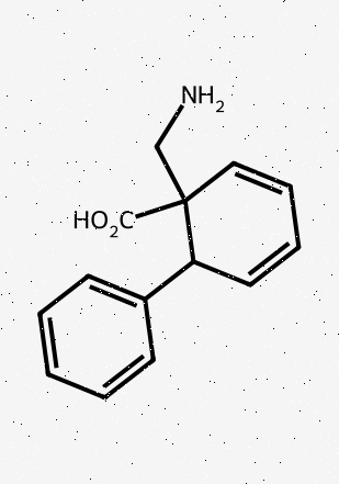 NCC1(C(=O)O)C=CC=CC1c1ccccc1